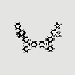 c1ccc(-c2ccc(-c3ccc(N(c4ccccc4)c4ccc(-c5ccc(N(c6ccccc6)c6ccc(-c7ccc(-c8cccs8)c8nsnc78)cc6)cc5)cc4)cc3)c3nsnc23)cc1